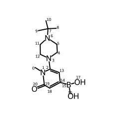 Cn1c(N2CCN(C(C)(C)C)CC2)cc(B(O)O)cc1=O